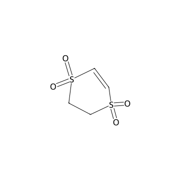 O=S1(=O)C=CS(=O)(=O)CC1